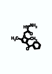 Cc1cc(C(=O)c2ccccc2)c(C)n1CC(=O)NN